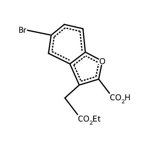 CCOC(=O)Cc1c(C(=O)O)oc2ccc(Br)cc12